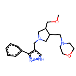 COCC1CN(Cc2c[nH]nc2-c2ccccc2)CC1CN1CCOCC1